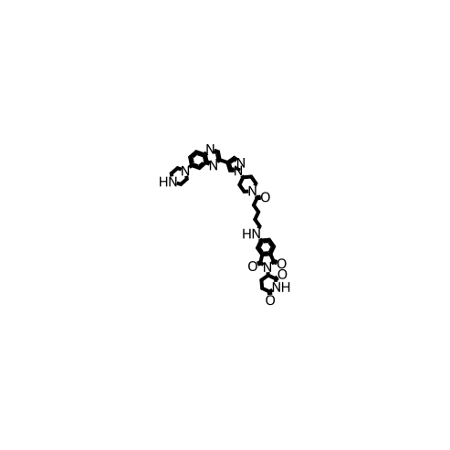 O=C1CCC(N2C(=O)c3ccc(NCCCCC(=O)N4CCC(n5cc(-c6cnc7ccc(N8CCNCC8)cc7n6)cn5)CC4)cc3C2=O)C(=O)N1